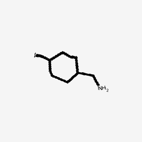 NCC1CCC(I)CC1